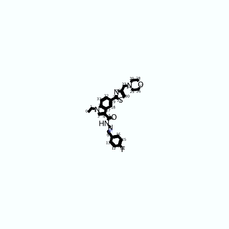 CCn1cc(C(=O)N/N=C/c2ccc(F)cc2)c2cc(-c3nc(CN4CCOCC4)cs3)ccc21